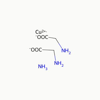 N.NCC(=O)[O-].NCC(=O)[O-].[Cu+2]